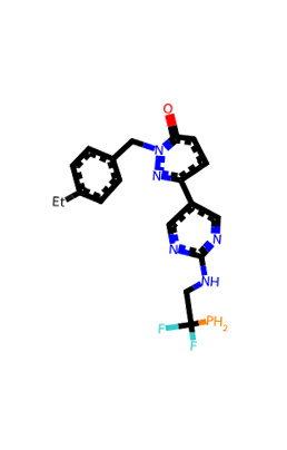 CCc1ccc(Cn2nc(-c3cnc(NCC(F)(F)P)nc3)ccc2=O)cc1